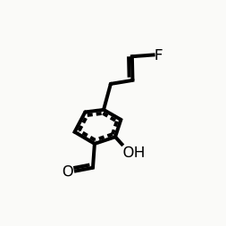 O=Cc1ccc(CC=CF)cc1O